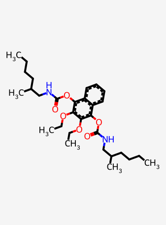 CCCCC(C)CNC(=O)Oc1c(OCC)c(OCC)c(OC(=O)NCC(C)CCCC)c2ccccc12